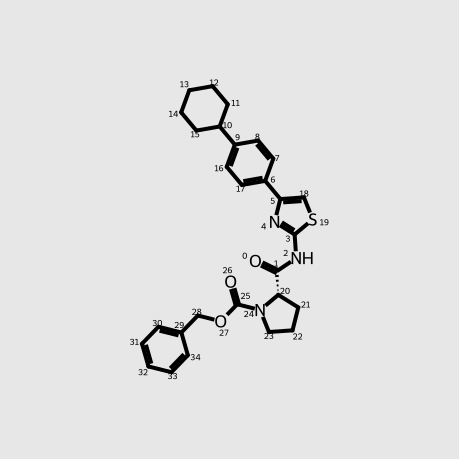 O=C(Nc1nc(-c2ccc(C3CCCCC3)cc2)cs1)[C@@H]1CCCN1C(=O)OCc1ccccc1